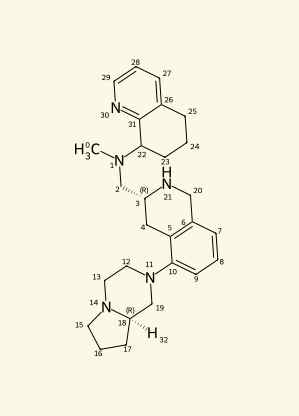 CN(C[C@H]1Cc2c(cccc2N2CCN3CCC[C@@H]3C2)CN1)C1CCCc2cccnc21